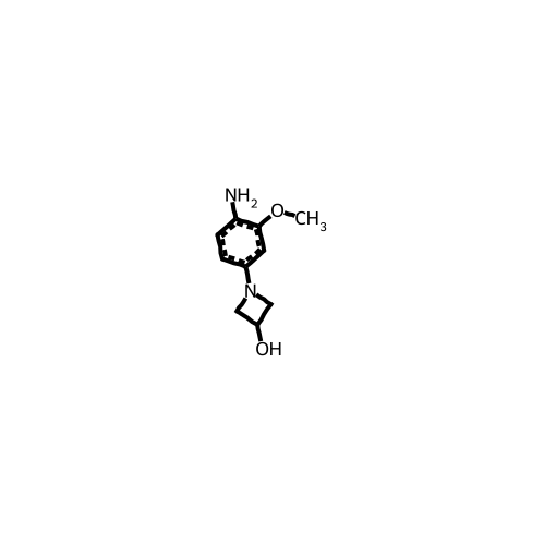 COc1cc(N2CC(O)C2)ccc1N